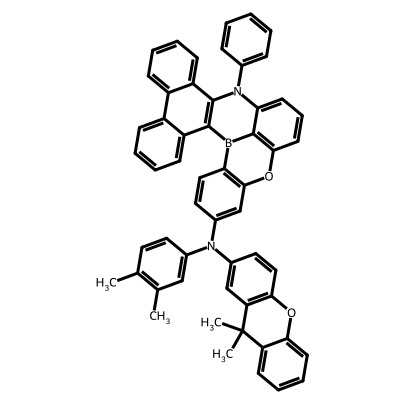 Cc1ccc(N(c2ccc3c(c2)Oc2cccc4c2B3c2c(c3ccccc3c3ccccc23)N4c2ccccc2)c2ccc3c(c2)C(C)(C)c2ccccc2O3)cc1C